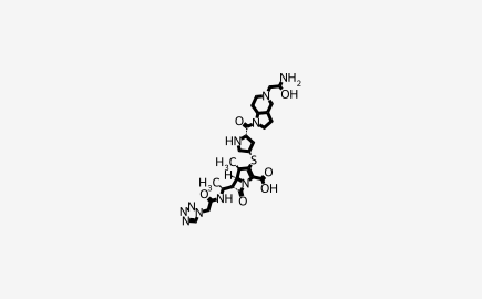 C[C@@H](NC(=O)Cn1cnnn1)[C@H]1C(=O)N2C(C(=O)O)=C(S[C@@H]3CN[C@H](C(=O)N4CCC5CN(CC(N)O)CCC54)C3)[C@H](C)[C@H]12